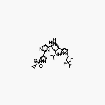 CC(C)NC1=CC(N)(c2ccnc(-c3cnn(S(=O)(=O)C4CC4)c3)n2)NC=C1c1ccn(CCC(F)(F)F)n1